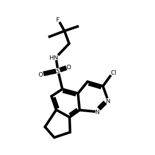 CC(C)(F)CNS(=O)(=O)c1cc2c(c3nnc(Cl)cc13)CCC2